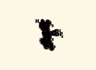 CCCCCCCCC1(CCCCCCCC)c2cc(-c3ccc4c5ccc(-c6ccccc6)cc5c5c(nc(-c6c(OCC(CC)CCCC)ccc7ccccc67)n5CC(CC)CCCC)c4c3)ccc2-c2ccc(-c3ccc4c5ccc(-c6ccc(-c7ccccc7)cc6)cc5c5nc(-c6c(OCC(CC)CCCC)ccc7ccccc67)n(CC(CC)CCCC)c5c4c3)cc21